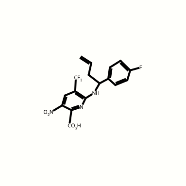 C=CCC(Nc1nc(C(=O)O)c([N+](=O)[O-])cc1C(F)(F)F)c1ccc(F)cc1